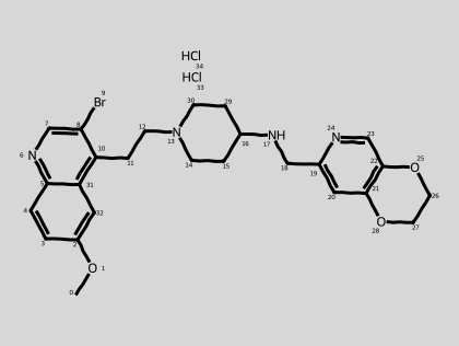 COc1ccc2ncc(Br)c(CCN3CCC(NCc4cc5c(cn4)OCCO5)CC3)c2c1.Cl.Cl